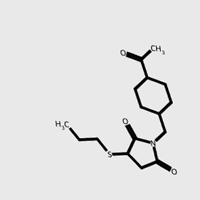 CCCSC1CC(=O)N(CC2CCC(C(C)=O)CC2)C1=O